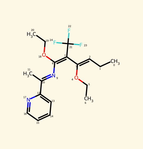 CC/C=C(OCC)/C(=C(\N=C(/C)c1ccccn1)OCC)C(F)(F)F